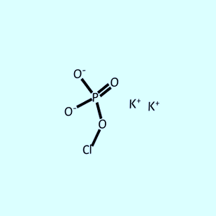 O=P([O-])([O-])OCl.[K+].[K+]